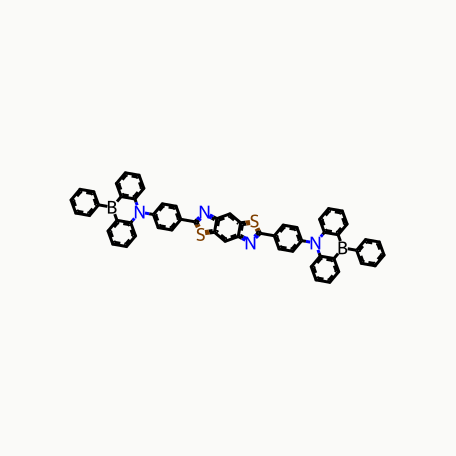 c1ccc(B2c3ccccc3N(c3ccc(-c4nc5cc6sc(-c7ccc(N8c9ccccc9B(c9ccccc9)c9ccccc98)cc7)nc6cc5s4)cc3)c3ccccc32)cc1